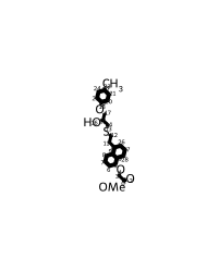 COC(=O)COc1cccc2c(CCSCC(O)COc3ccc(C)cc3)cccc12